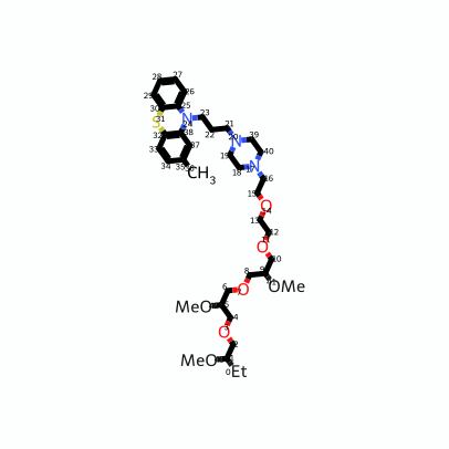 CCC(COCC(COCC(COCCOCCN1CCN(CCCN2c3ccccc3Sc3ccc(C)cc32)CC1)OC)OC)OC